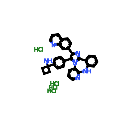 Cl.Cl.Cl.Cl.NC1(c2ccc(-c3c(-c4ccc5cccnc5c4)nc4n3-c3cccnc3Nc3ccccc3-4)cc2)CCC1